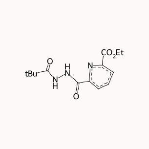 CCOC(=O)c1cccc(C(=O)NNC(=O)C(C)(C)C)n1